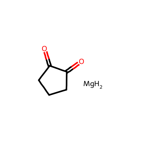 O=C1CCCC1=O.[MgH2]